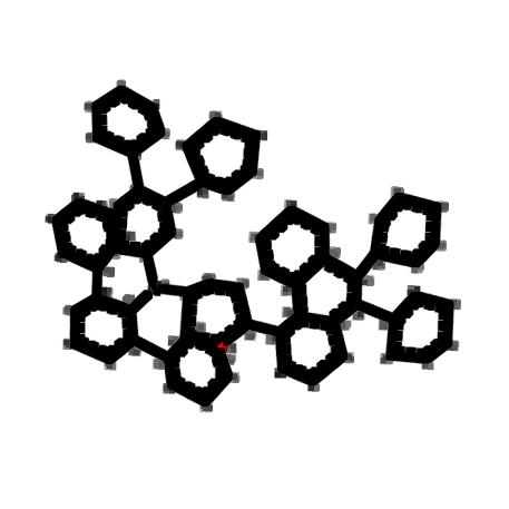 c1ccc(-c2ccc(N(c3ccc(-c4cccc5c(-c6ccccc6)c(-c6ccccc6)c6ccccc6c45)cc3)c3c(-c4ccccc4)cccc3-c3ccccc3)cc2-c2ccccc2)cc1